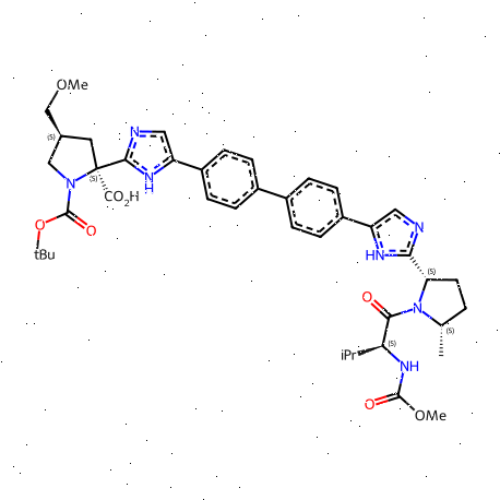 COC[C@@H]1CN(C(=O)OC(C)(C)C)[C@](C(=O)O)(c2ncc(-c3ccc(-c4ccc(-c5cnc([C@@H]6CC[C@H](C)N6C(=O)[C@@H](NC(=O)OC)C(C)C)[nH]5)cc4)cc3)[nH]2)C1